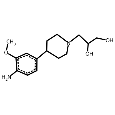 COc1cc(C2CCN(CC(O)CO)CC2)ccc1N